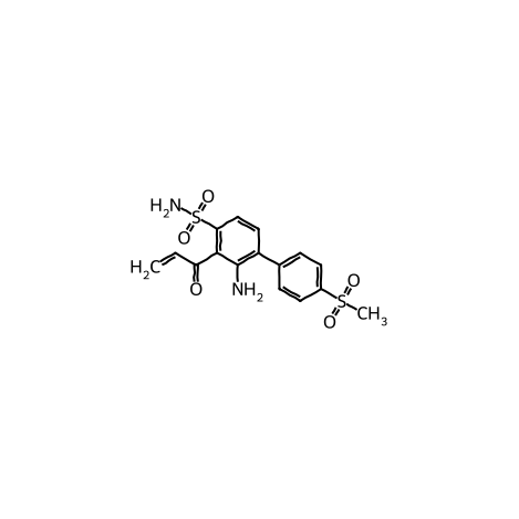 C=CC(=O)c1c(S(N)(=O)=O)ccc(-c2ccc(S(C)(=O)=O)cc2)c1N